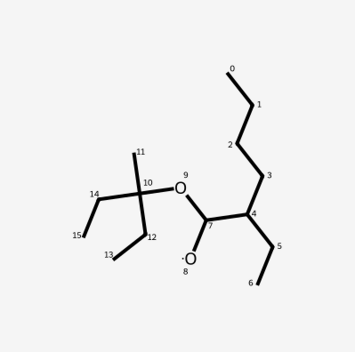 CCCCC(CC)C([O])OC(C)(CC)CC